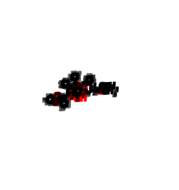 CC(OC1C(O)C(OCCCCCO[Si](C)(C)C)C(OCc2ccccc2)C(OCc2ccccc2)C1OCc1ccccc1)c1cn(S(=O)(=O)c2ccccc2)c2ccccc12